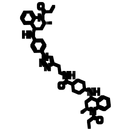 CCC(=O)N1c2ccccc2[C@H](Nc2ccc(-n3cc(CCNC(=O)C4CCC(N[C@@H]5C[C@H](C)N(C(=O)CC)c6ccccc65)CC4)nn3)cc2)C[C@@H]1C